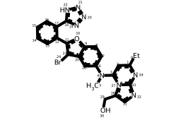 CCc1cc(N(C)c2ccc3oc(-c4ccccc4-c4nnn[nH]4)c(Br)c3c2)n2c(CO)cnc2n1